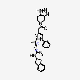 C=N/C(=N\C=C(/C)c1nc(CC(=O)N2CCc3[nH]nnc3C2)cn1-c1ccccc1)NC1Cc2ccccc2C1